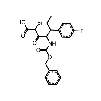 CCC(c1ccc(F)cc1)C(NC(=O)OCc1ccccc1)C(=O)C(Br)C(=O)O